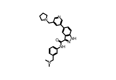 CN(C)Cc1cccc(NC(=O)c2n[nH]c3ccc(-c4cncc(CN5CCCC5)c4)cc23)c1